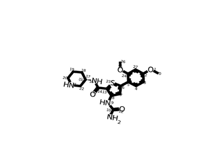 COc1ccc(-c2cc(NC(N)=O)c(C(=O)N[C@H]3CCCNC3)s2)c(OC)c1